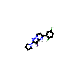 Fc1ccc(F)c(-c2ccn3nc(N4CCCC4)c(I)c3n2)c1